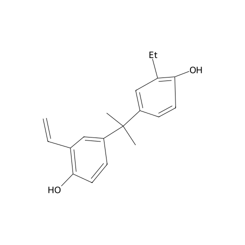 C=Cc1cc(C(C)(C)c2ccc(O)c(CC)c2)ccc1O